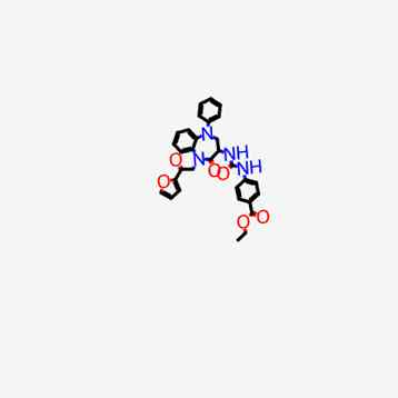 CCOC(=O)c1ccc(NC(=O)NC2CN(c3ccccc3)c3ccccc3N(CC(=O)c3ccco3)C2=O)cc1